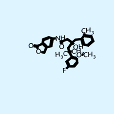 COc1ccc(F)cc1C(C)(C)CC(O)(CC(=O)Nc1ccc2c(c1)COC2=O)Cc1ccccc1C